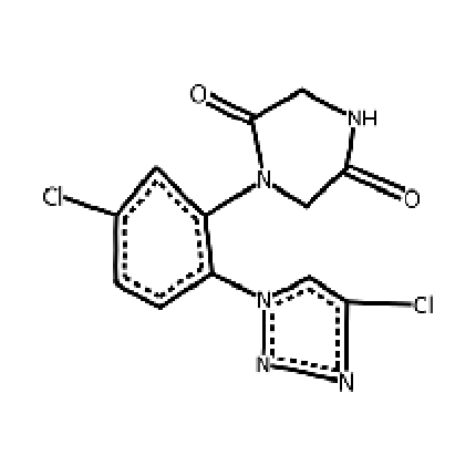 O=C1CN(c2cc(Cl)ccc2-n2cc(Cl)nn2)C(=O)CN1